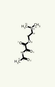 CC(=O)SC(=O)C(=O)OCCN(C)C